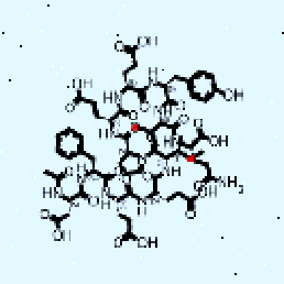 CC[C@H](C)[C@H](NC(=O)[C@H](CCC(=O)O)NC(=O)[C@H](CCC(=O)O)NC(=O)[C@H](Cc1ccccc1)NC(=O)[C@H](CC(=O)O)NC(C)=O)C(=O)N1CCC[C@H]1C(=O)N[C@@H](CCC(=O)O)C(=O)N[C@@H](CCC(=O)O)C(=O)N[C@@H](Cc1ccc(O)cc1)C(=O)N[C@H](C(=O)N[C@@H](CCC(N)=O)C(=O)O)C(C)C